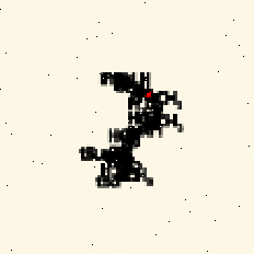 CC(C)NC(=O)COCC(=O)NCCC(C)(C)OCCC(C)(C)OC(=O)NCCOP(=O)(O)OCC(COC(=O)C(C)(C)CCC(C)(C)C)OC(=O)C(C)(C)CCC(C)(C)C